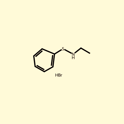 Br.CCNSc1ccccc1